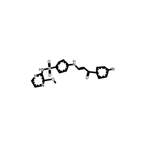 COc1nccnc1NS(=O)(=O)c1ccc(NC=CC(=O)c2ccc(Br)cc2)cc1